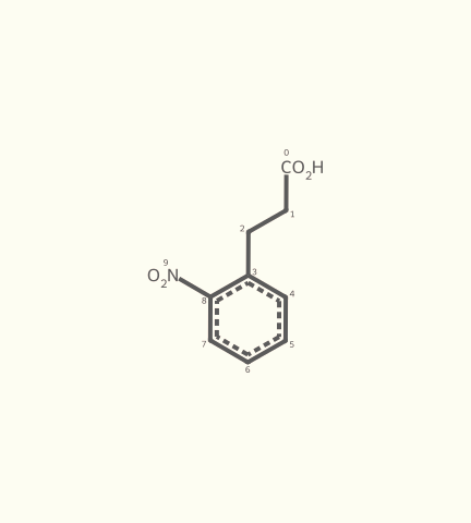 O=C(O)CCc1ccccc1[N+](=O)[O-]